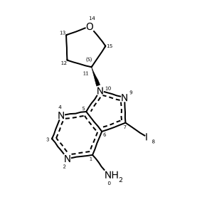 Nc1ncnc2c1c(I)nn2[C@H]1CCOC1